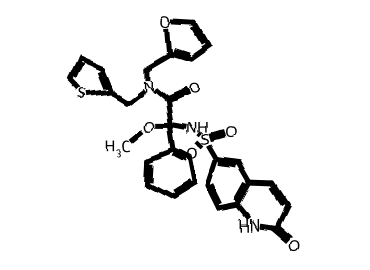 COC(NS(=O)(=O)c1ccc2[nH]c(=O)ccc2c1)(C(=O)N(Cc1ccco1)Cc1cccs1)c1ccccc1